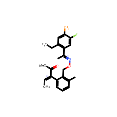 CO/C=C(/C(=O)OC)c1cccc(C)c1CO/N=C(\C)c1cc(F)c(P)cc1CC(F)(F)F